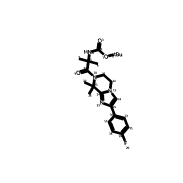 CC(C)(C)OC(=O)NC(C)(C)C(=O)N1CCn2cc(-c3ccc(F)cc3)nc2C1(C)C